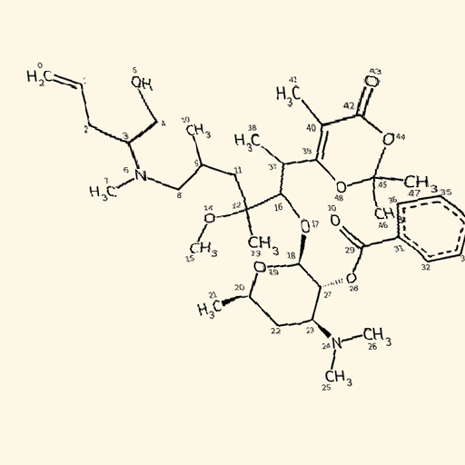 C=CCC(CO)N(C)CC(C)CC(C)(OC)C(O[C@@H]1O[C@H](C)C[C@H](N(C)C)[C@H]1OC(=O)c1ccccc1)C(C)C1=C(C)C(=O)OC(C)(C)O1